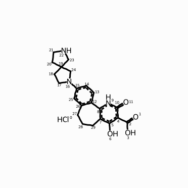 Cl.O=C(O)c1c(O)c2c([nH]c1=O)-c1ccc(N3CCC4(CCNC4)C3)cc1CCC2